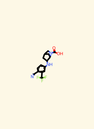 N#Cc1ccc(NC2CC3CC2N(C(=O)O)C3)cc1C(F)(F)F